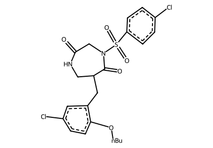 CCCCOc1ccc(Cl)cc1CC1CNC(=O)CN(S(=O)(=O)c2ccc(Cl)cc2)C1=O